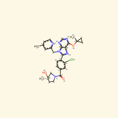 Cc1ccnc(Cn2c(-c3ccc(C(=O)N4CC[C@@](C)(O)C4)cc3Cl)nc3c(OC4(C)CC4)ncnc32)c1